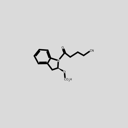 N#CCCCC(=O)N1c2ccccc2C[C@@H]1OC(=O)O